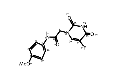 COc1ccc(NC(=O)Cn2cc(F)c(=O)[nH]c2=O)cc1